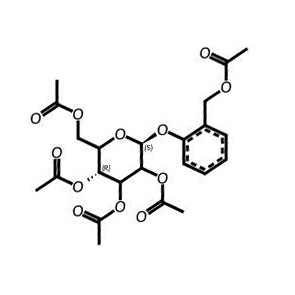 CC(=O)OCc1ccccc1O[C@@H]1OC(COC(C)=O)[C@@H](OC(C)=O)C(OC(C)=O)C1OC(C)=O